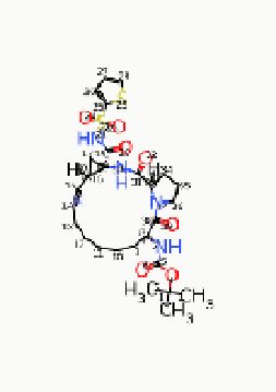 CC(C)(C)OC(=O)N[C@H]1CCCCC/C=C\[C@@H]2C[C@@]2(C(=O)NS(=O)(=O)c2cccs2)NC(=O)[C@@H]2CCCN2C1=O